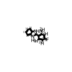 [2H]Nc1c([2H])c(F)c([2H])c([2H])c1-c1nc2ccccc2[nH]1